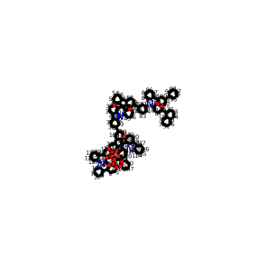 c1ccc(-c2ccc(-c3ccccc3N(c3cccc(-c4ccc5c(c4)C4(c6ccc(-c7ccc8c9cccc%10c9n(c8c7)-c7ccccc7C%107c8ccccc8-c8ccc(-c9cccc(N(c%10ccc(-c%11cccc%12ccccc%11%12)cc%10)c%10ccccc%10-c%10cccc(-c%11ccccc%11)c%10)c9)cc87)cc6-5)c5ccccc5-n5c6ccccc6c6cccc4c65)c3)c3ccccc3-c3cccc(-c4ccccc4)c3)cc2)cc1